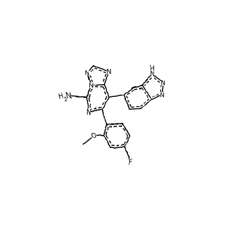 COc1cc(F)ccc1-c1nc(N)n2ncnc2c1-c1ccc2nn[nH]c2c1